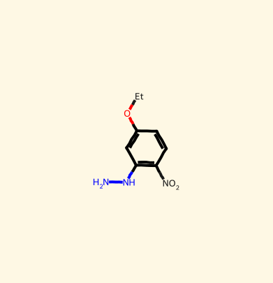 CCOc1ccc([N+](=O)[O-])c(NN)c1